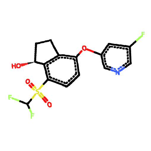 O=S(=O)(c1ccc(Oc2cncc(F)c2)c2c1[C@H](O)CC2)C(F)F